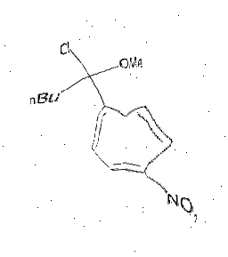 CCCCC(Cl)(OC)c1ccc([N+](=O)[O-])cc1